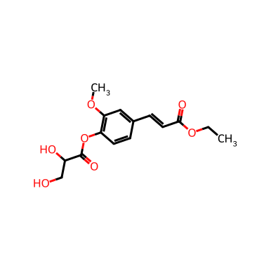 CCOC(=O)C=Cc1ccc(OC(=O)C(O)CO)c(OC)c1